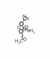 CC(=O)C=Cc1ccc2c(c1)[C@]1(COC(N)=N1)c1cc(-c3cncnc3)ccc1O2